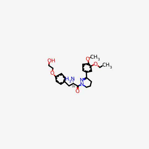 CCOc1cc(C2=NN(C(=O)[C@@H](N)Cc3ccc(OCCO)cc3)CCC2)ccc1OC